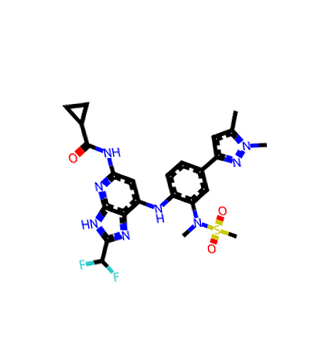 Cc1cc(-c2ccc(Nc3cc(NC(=O)C4CC4)nc4[nH]c(C(F)F)nc34)c(N(C)S(C)(=O)=O)c2)nn1C